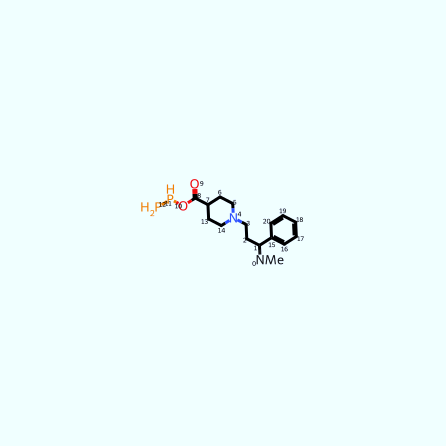 CNC(CCN1CCC(C(=O)OPP)CC1)c1ccccc1